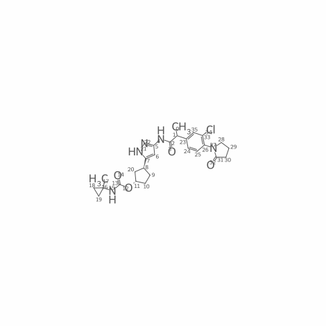 CC(C(=O)Nc1cc([C@H]2CC[C@H](OC(=O)NC3(C)CC3)C2)[nH]n1)c1ccc(N2CCCC2=O)c(Cl)c1